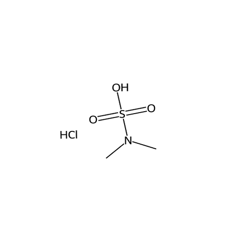 CN(C)S(=O)(=O)O.Cl